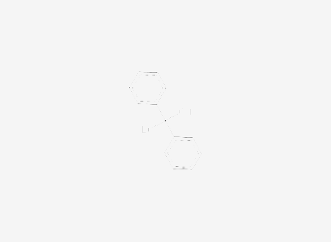 CCC(C)(c1cc[c]cc1)c1cc[c]cc1